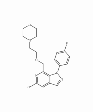 Fc1ccc(-n2ncc3cc(Cl)nc(COCCN4CCOCC4)c32)cc1